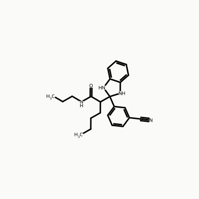 CCCCC(C(=O)NCCC)C1(c2cccc(C#N)c2)Nc2ccccc2N1